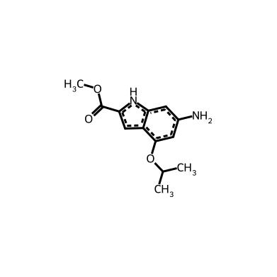 COC(=O)c1cc2c(OC(C)C)cc(N)cc2[nH]1